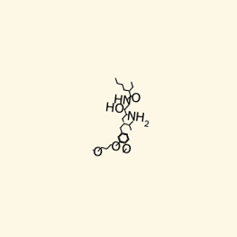 CCCCC(CC)C(=O)NC[C@H](O)[C@@H](N)C[C@H](Cc1ccc(OC)c(OCCCOC)c1)C(C)C